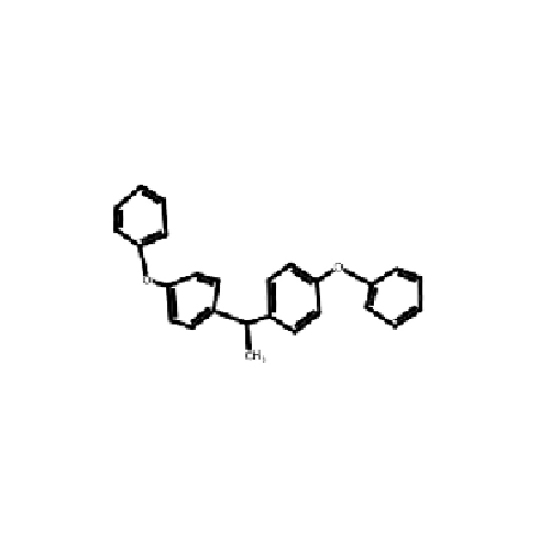 CC(c1ccc(Oc2ccccc2)cc1)c1ccc(Oc2ccccc2)cc1